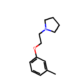 Cc1cccc(OCCN2CCCC2)c1